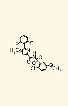 COc1ccc(Cl)c(S(=O)(=O)NC(=O)c2cn(C)c(-c3c(F)cccc3F)n2)c1